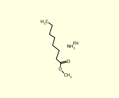 CCCCCCCC(=O)OC.F.N